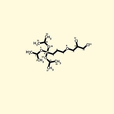 CC(C)O[Si](CCCOCC(Cl)CCl)(OC(C)C)OC(C)C